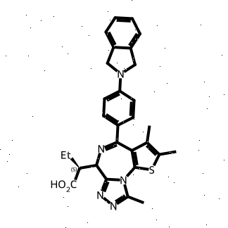 CC[C@H](C(=O)O)C1N=C(c2ccc(N3Cc4ccccc4C3)cc2)c2c(sc(C)c2C)-n2c(C)nnc21